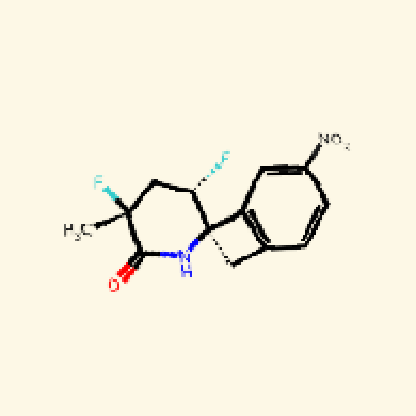 C[C@@]1(F)C[C@H](F)[C@]2(Cc3ccc([N+](=O)[O-])cc32)NC1=O